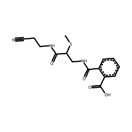 CSC(CNC(=O)c1ccccc1C(=O)O)C(=O)NCCC#N